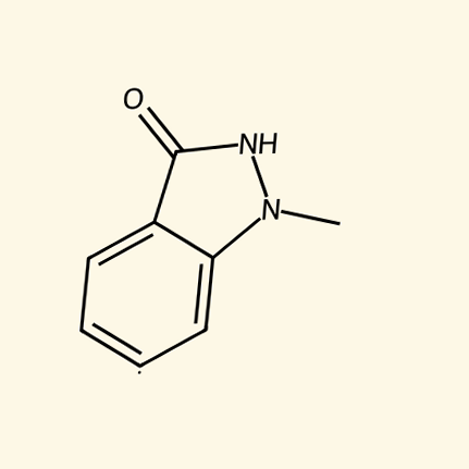 Cn1[nH]c(=O)c2cc[c]cc21